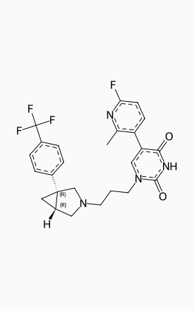 Cc1nc(F)ccc1-c1cn(CCCN2C[C@@H]3C[C@@]3(c3ccc(C(F)(F)F)cc3)C2)c(=O)[nH]c1=O